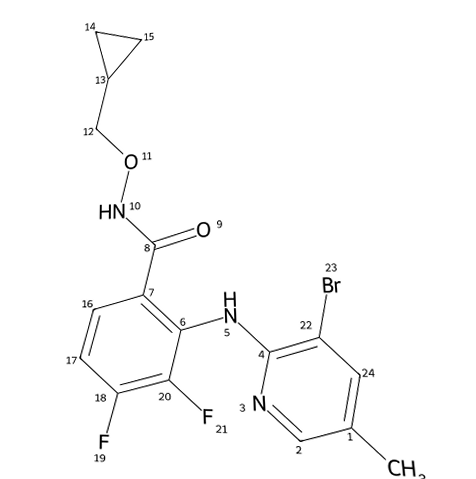 Cc1cnc(Nc2c(C(=O)NOCC3CC3)ccc(F)c2F)c(Br)c1